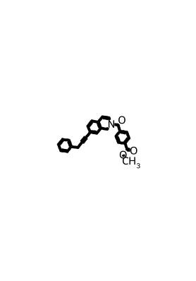 COC(=O)c1ccc(C(=O)N2C=Cc3ccc(C#CCc4ccccc4)cc3C2)cc1